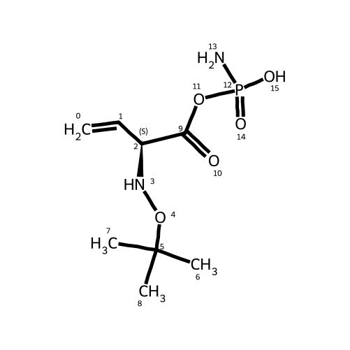 C=C[C@H](NOC(C)(C)C)C(=O)OP(N)(=O)O